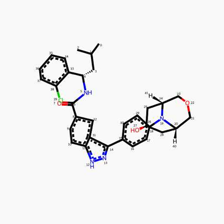 CC(C)C[C@H](NC(=O)c1ccc2[nH]nc(-c3ccc(N4[C@@H]5COC[C@H]4C[C@H](O)C5)cc3)c2c1)c1ccccc1Cl